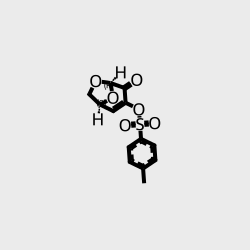 Cc1ccc(S(=O)(=O)OC2=C[C@H]3CO[C@H](O3)C2=O)cc1